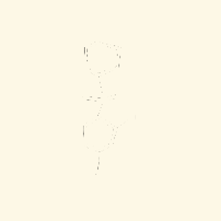 Cc1ccc(S(=O)(=O)c2c[c]ccc2)c(C)c1